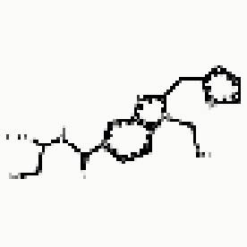 CCC(C)Cn1c(Cc2cccs2)nc2cc(C(=O)NC(CC(C)C)C(=O)O)ccc21